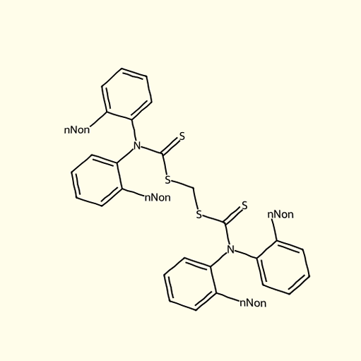 CCCCCCCCCc1ccccc1N(C(=S)SCSC(=S)N(c1ccccc1CCCCCCCCC)c1ccccc1CCCCCCCCC)c1ccccc1CCCCCCCCC